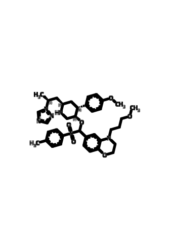 COCCCN1CCOc2ccc(C(O[C@H]3CN[C@@H](C[C@H](C)n4cncn4)C[C@@H]3c3ccc(OC)cc3)S(=O)(=O)c3ccc(C)cc3)cc21